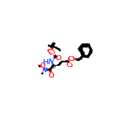 CON(C)C(=O)[C@H](CCC(=O)OCc1ccccc1)NC(=O)OC(C)(C)C